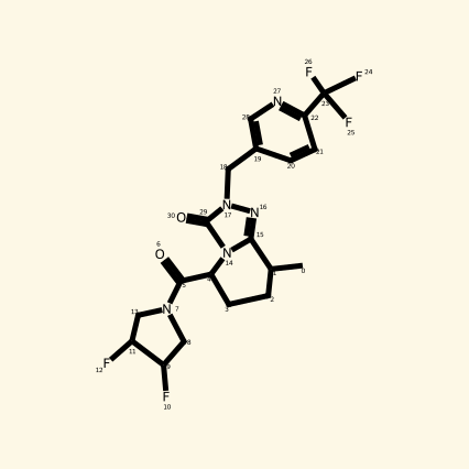 CC1CCC(C(=O)N2CC(F)C(F)C2)n2c1nn(Cc1ccc(C(F)(F)F)nc1)c2=O